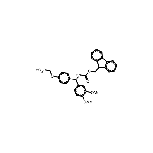 COc1ccc([C@H](NC(=O)OCC2c3ccccc3-c3ccccc32)c2ccc(OCC(=O)O)cc2)cc1OC